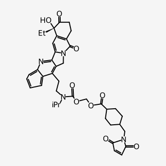 CC[C@@]1(O)C(=O)CCc2c1cc1n(c2=O)Cc2c-1nc1ccccc1c2CCN(C(=O)OCOC(=O)C1CCC(CN2C(=O)C=CC2=O)CC1)C(C)C